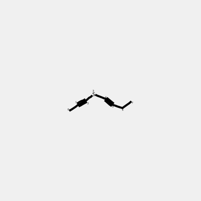 CC#CSC#CCC